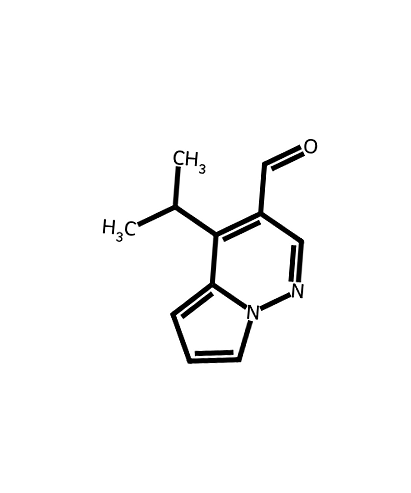 CC(C)c1c(C=O)cnn2cccc12